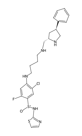 [O-][S+](Nc1nccs1)c1cc(Cl)c(NCCCCNC[C@@H]2C[C@@H](c3ccccc3)CN2)cc1F